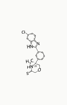 C[C@]1(c2cccc(-c3nc4ccc(Cl)cc4[nH]3)c2)COCC(=S)N1